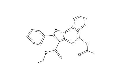 CCOC(=O)c1c(-c2ccccc2)oc2c1cc(OC(C)=O)c1ccccc12